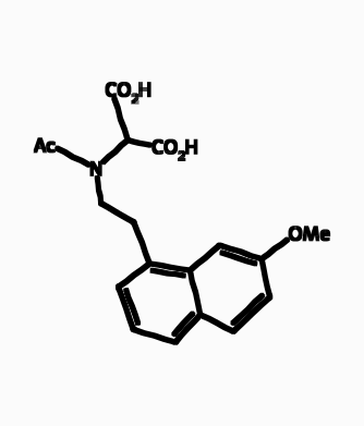 COc1ccc2cccc(CCN(C(C)=O)C(C(=O)O)C(=O)O)c2c1